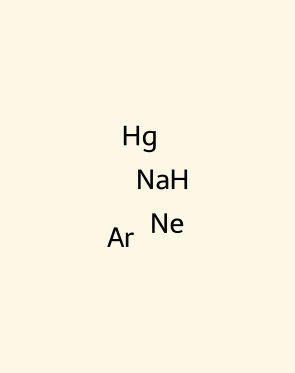 [Ar].[Hg].[NaH].[Ne]